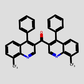 O=C(c1cnc2c(C(F)(F)F)cccc2c1-c1ccccc1)c1cnc2c(C(F)(F)F)cccc2c1-c1ccccc1